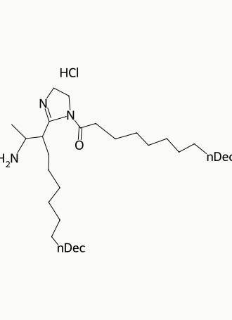 CCCCCCCCCCCCCCCCCC(=O)N1CCN=C1C(CCCCCCCCCCCCCCCC)C(C)N.Cl